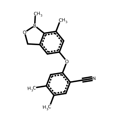 CB1OCc2cc(Oc3cc(C)c(C)cc3C#N)cc(C)c21